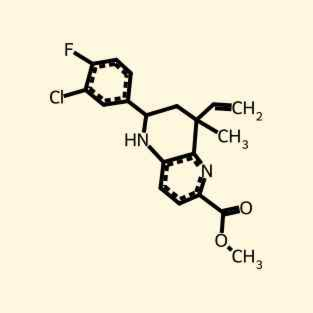 C=CC1(C)CC(c2ccc(F)c(Cl)c2)Nc2ccc(C(=O)OC)nc21